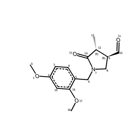 COc1ccc(CN2C[C@H](C=O)[C@@H](C)C2=O)c(OC)c1